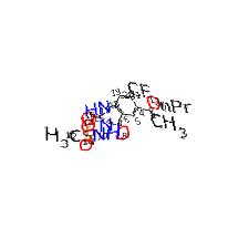 CCCOC(C)c1cc2c(=O)n(NS(C)(=O)=O)c(=O)[nH]c2cc1C(F)(F)F